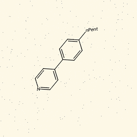 CCCCCc1ccc(-c2ccncc2)cc1